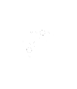 CNc1ccc(N)cc1C(C)(C)CC=C1N(C)c2ccc(N)cc2C1(C)C